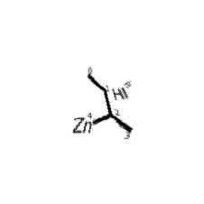 CC[CH](C)[Zn].I